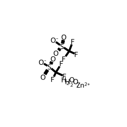 O.O.O=S(=O)([O-])C(F)(F)F.O=S(=O)([O-])C(F)(F)F.[Zn+2]